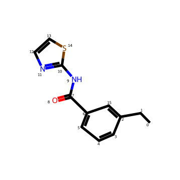 CCc1cccc(C(=O)Nc2nccs2)c1